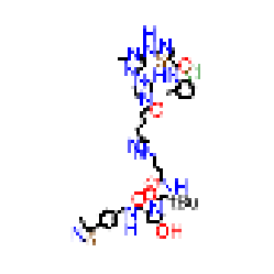 Cc1nc(Nc2ncc(C(=O)Nc3c(C)cccc3Cl)s2)cc(N2CCN(C(=O)CCCc3cn(CCCC(=O)N[C@H](C(=O)N4C[C@H](O)C[C@H]4C(=O)NCc4ccc(-c5scnc5C)cc4)C(C)(C)C)nn3)CC2)n1